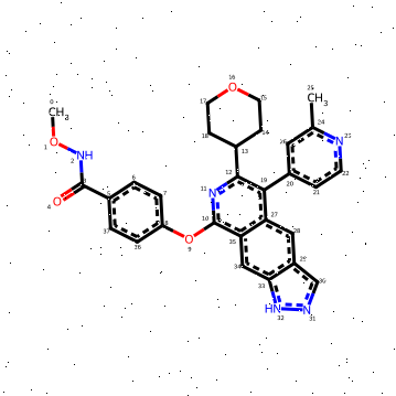 CONC(=O)c1ccc(Oc2nc(C3CCOCC3)c(-c3ccnc(C)c3)c3cc4cn[nH]c4cc23)cc1